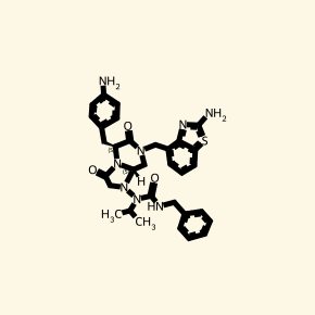 CC(C)N(C(=O)NCc1ccccc1)N1CC(=O)N2[C@@H](Cc3ccc(N)cc3)C(=O)N(Cc3cccc4sc(N)nc34)C[C@@H]21